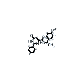 C[C@@H](NC(=O)c1cc(=O)[nH]c(-c2ccccc2)n1)c1ccc(OF)cc1